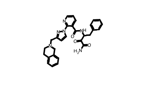 NC(=O)C(=O)C(Cc1ccccc1)NC(=O)c1cccnc1-n1ccc(CN2CCc3ccccc3C2)n1